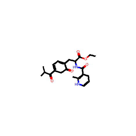 CCOC(=O)C(CC1=CC=C(C(=O)C(C)C)CC1=O)NC(=O)C1=C(C)NC=CC1